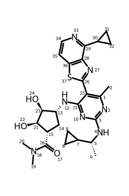 Cc1nc(N[C@H](C)C2CC2)nc(N[C@@H]2C[C@H](C(=O)N(C)C)[C@@H](O)[C@H]2O)c1-c1nc2c(C3CC3)nccc2s1